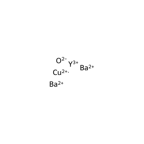 [Ba+2].[Ba+2].[Cu+2].[O-2].[Y+3]